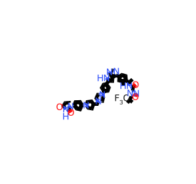 Cc1cc(-c2ncnc3[nH]c(-c4ccc(N5CCN(CC6CCN(c7ccc(N8CCC(=O)NC8=O)cc7)CC6)CC5)cc4)cc23)ccc1C(C)NC(=O)c1noc(C(C)(C)C(F)(F)F)n1